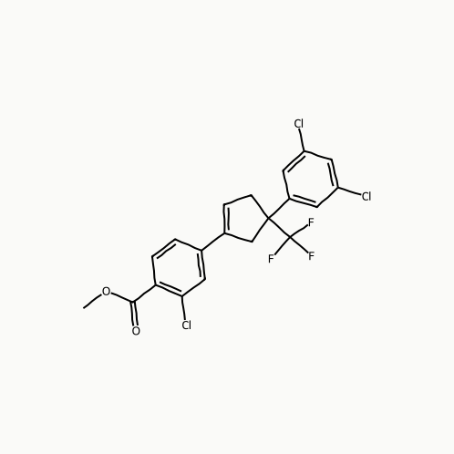 COC(=O)c1ccc(C2=CCC(c3cc(Cl)cc(Cl)c3)(C(F)(F)F)C2)cc1Cl